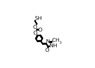 CC1=N/C(=C\c2ccc(OC(=O)OCCS)cc2)C(=O)N1